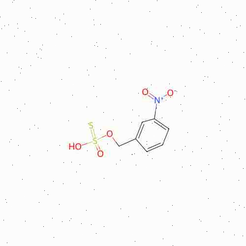 O=[N+]([O-])c1cccc(COS(=O)(O)=S)c1